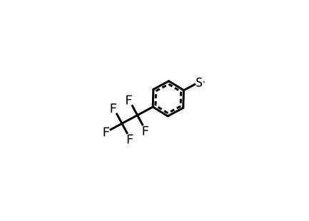 FC(F)(F)C(F)(F)c1ccc([S])cc1